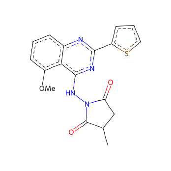 COc1cccc2nc(-c3cccs3)nc(NN3C(=O)CC(C)C3=O)c12